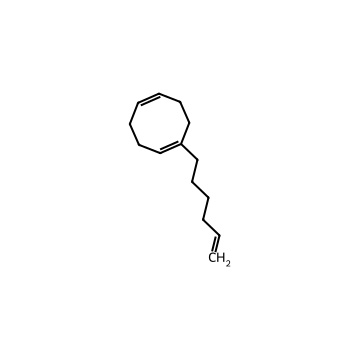 C=CCCCC/C1=C/CC/C=C\CC1